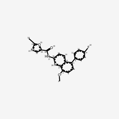 COc1ccc(-c2ccc(F)cc2)c2ccc(NC(=O)c3cnc(C)o3)nc12